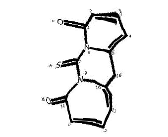 O=c1cccc2n1C(=S)n1c(cccc1=O)C2